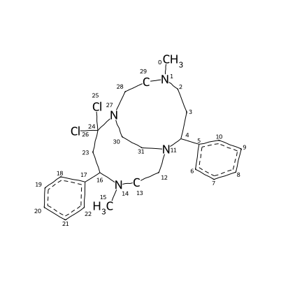 CN1CCC(c2ccccc2)N2CCN(C)C(c3ccccc3)CC(Cl)(Cl)N(CC1)CC2